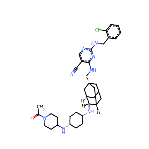 CC(=O)N1CCC(N[C@H]2CC[C@@H](N[C@@H]3[C@@H]4CC5C[C@H]3C[C@](CNc3nc(NCc6ccccc6Cl)ncc3C#N)(C5)C4)CC2)CC1